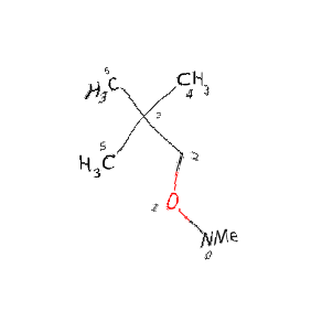 [CH2]NOCC(C)(C)C